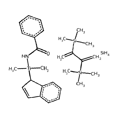 C=C(C(=C)[Si](C)(C)C)[Si](C)(C)C.[CH3][Ti]([CH3])([NH]C(=O)c1ccccc1)[CH]1C=Cc2ccccc21.[SiH4]